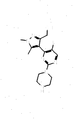 Cc1c(-c2nc(N3CCNCC3)ncc2F)c(CO)nn1C